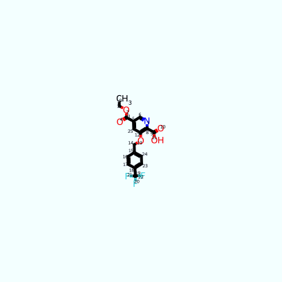 CCOC(=O)c1cnc(C(=O)O)c(OCc2ccc(C(F)(F)F)cc2)c1